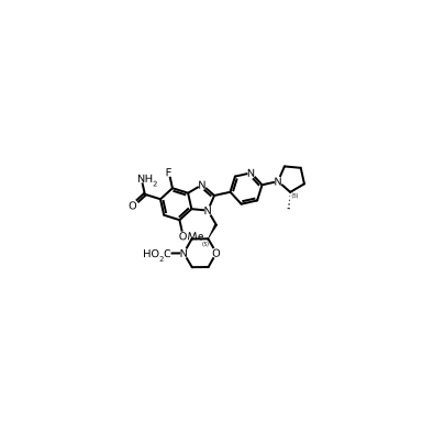 COc1cc(C(N)=O)c(F)c2nc(-c3ccc(N4CCC[C@@H]4C)nc3)n(C[C@@H]3CN(C(=O)O)CCO3)c12